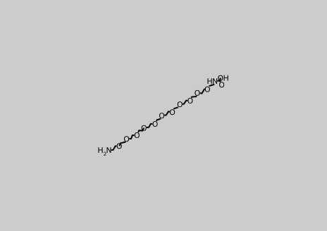 NCCOCCOCCOCCOCCOCCOCCOCCOCCOCCOCCOCCNC(=O)O